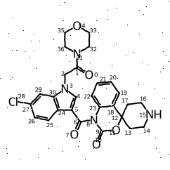 O=C(Cn1cc(C(=O)N2C(=O)OC3(CCNCC3)c3ccccc32)c2ccc(Cl)cc21)N1CCOCC1